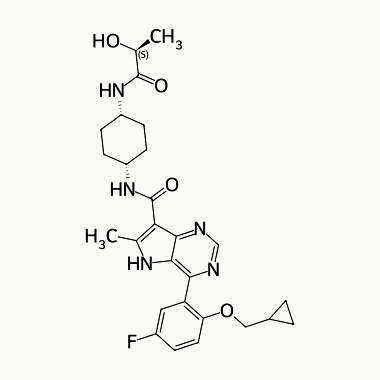 Cc1[nH]c2c(-c3cc(F)ccc3OCC3CC3)ncnc2c1C(=O)N[C@H]1CC[C@@H](NC(=O)[C@H](C)O)CC1